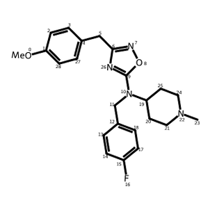 COc1ccc(Cc2noc(N(Cc3ccc(F)cc3)C3CCN(C)CC3)n2)cc1